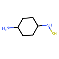 NC1CCC(NS)CC1